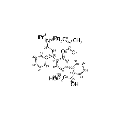 C=C(C)C(=O)Oc1ccc(CO)cc1[C@H](CCN(C(C)C)C(C)C)c1ccccc1.O=C(O)C(O)c1ccccc1